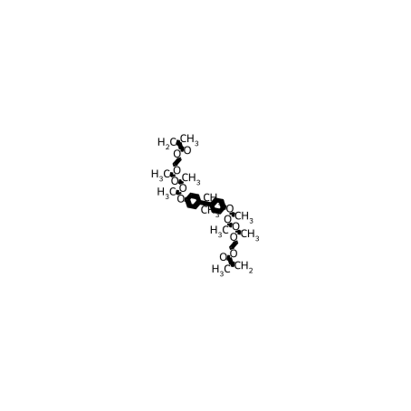 C=C(C)C(=O)OCCOC(C)OC(C)OC(C)Oc1ccc(C(C)(C)c2ccc(OC(C)OC(C)OC(C)OCCOC(=O)C(=C)C)cc2)cc1